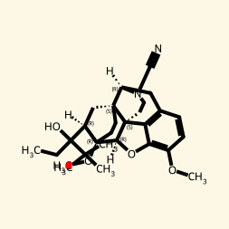 CCC(O)([C@H]1C[C@@]23CC[C@]1(OC)[C@@H]1Oc4c(OC)ccc5c4[C@@]12CCN(C#N)[C@@H]3C5)C(C)(C)C